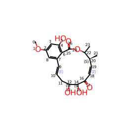 COc1cc(O)c2c(c1)/C=C/C[C@H](O)[C@H](O)C(=O)/C=C\[C@H](C)C(C)OC2=O